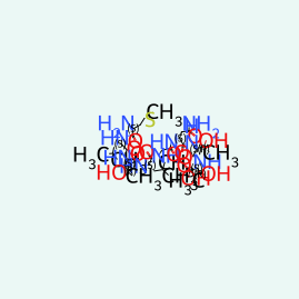 CSCC[C@H](N)C(=O)N[C@@H](CC(C)C)C(=O)N[C@H](C(=O)N[C@@H](CC(C)C)C(=O)NCC(=O)N[C@@H](CC(N)=O)C(=O)N[C@H](C(=O)N[C@H](C(=O)O)[C@@H](C)O)[C@@H](C)O)[C@@H](C)O